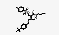 CCCCn1ncc(SCc2ccc(C(C)(C)C)cc2)c(COS(=O)(=O)c2ccc(C)cc2)c1=O